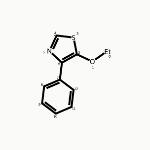 CCOc1s[c]nc1-c1ccccc1